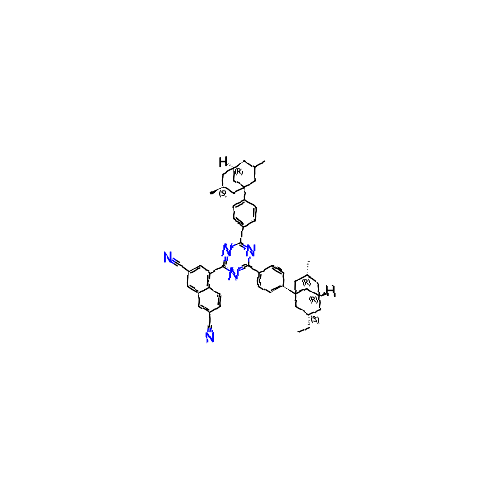 CC[C@H]1C[C@H]2C[C@@H](C)CC(c3ccc(-c4nc(-c5ccc(C67CC(C)C[C@H](C[C@H](C)C6)C7)cc5)nc(-c5cc(C#N)cc6cc(C#N)ccc56)n4)cc3)(C2)C1